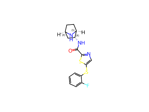 O=C(N[C@@H]1C[C@H]2CC[C@@H]1N2)c1ncc(Sc2ccccc2F)s1